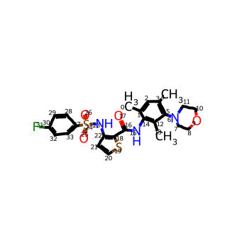 Cc1cc(C)c(N2CCOCC2)c(C)c1NC(=O)c1sccc1NS(=O)(=O)c1ccc(F)cc1